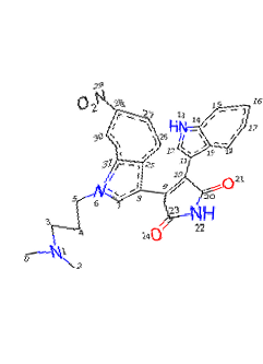 CN(C)CCCn1cc(C2=C(c3c[nH]c4ccccc34)C(=O)NC2=O)c2ccc([N+](=O)[O-])cc21